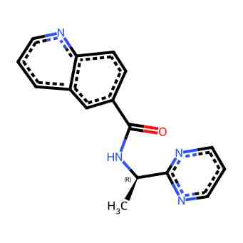 C[C@@H](NC(=O)c1ccc2ncccc2c1)c1ncccn1